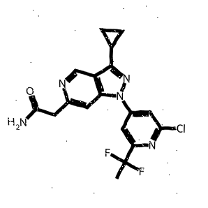 CC(F)(F)c1cc(-n2nc(C3CC3)c3cnc(CC(N)=O)cc32)cc(Cl)n1